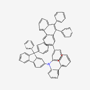 c1ccc(-c2ccccc2N(c2cccc(-c3ccc4c(c3)c(-c3ccccc3)c(-c3ccccc3)c3ccccc34)c2)c2ccc3c(c2)C(c2ccccc2)(c2ccccc2)c2ccccc2-3)cc1